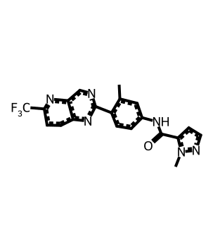 Cc1cc(NC(=O)c2ccnn2C)ccc1-c1ncc2nc(C(F)(F)F)ccc2n1